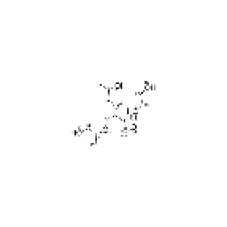 CC(O)COC(C)COC(C)CO.CCOCC.OCCO